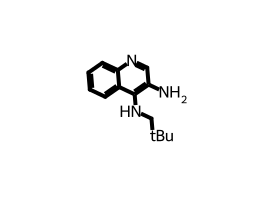 CC(C)(C)CNc1c(N)cnc2ccccc12